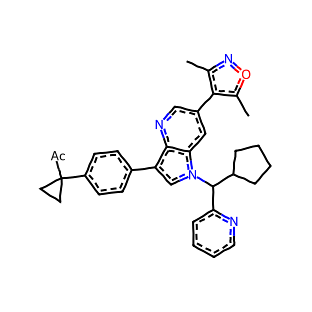 CC(=O)C1(c2ccc(-c3cn(C(c4ccccn4)C4CCCC4)c4cc(-c5c(C)noc5C)cnc34)cc2)CC1